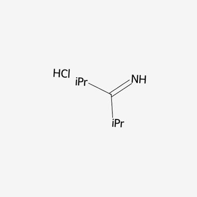 CC(C)C(=N)C(C)C.Cl